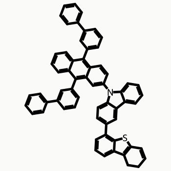 C1=Cc2sc3c(-c4ccc5c(c4)c4ccccc4n5-c4ccc5c(-c6cccc(-c7ccccc7)c6)c6ccccc6c(-c6cccc(-c7ccccc7)c6)c5c4)cccc3c2CC1